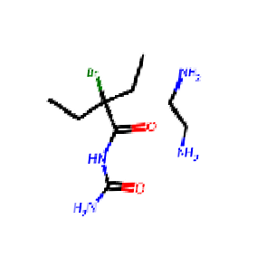 CCC(Br)(CC)C(=O)NC(N)=O.NCCN